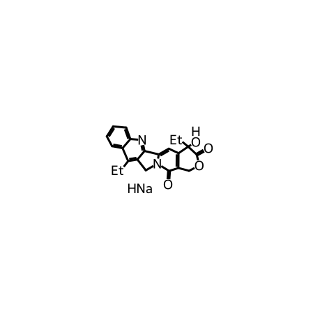 CCc1c2c(nc3ccccc13)-c1cc3c(c(=O)n1C2)COC(=O)C3(O)CC.[NaH]